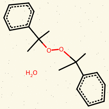 CC(C)(OOC(C)(C)c1ccccc1)c1ccccc1.O